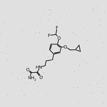 NC(=O)C(=O)NCCCc1ccc(OC(F)F)c(OCC2CC2)c1